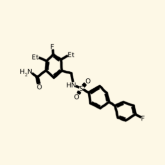 CCc1c(CNS(=O)(=O)c2ccc(-c3ccc(F)cc3)cc2)cc(C(N)=O)c(CC)c1F